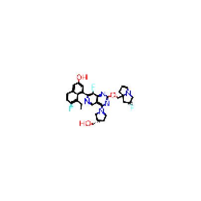 CCc1c(F)ccc2cc(O)cc(-c3ncc4c(N5CC[C@H](CO)C5)nc(OCC56CCCN5C[C@H](F)C6)nc4c3F)c12